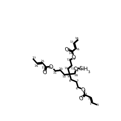 CC=CC(=O)OCCCC(CCCOC(=O)C=CC)(CCCOC(=O)C=CC)CO[SiH3]